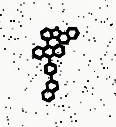 C1=CCC2C(=C1)C(c1cccc3c1C1C=CC4C=CC=CC4C1O3)=C1CCC=CC1=C2c1ccc(C2=CC=C3C=CCCC3C2)cc1